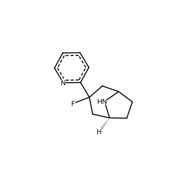 FC1(c2ccccn2)CC2CC[C@@H](C1)N2